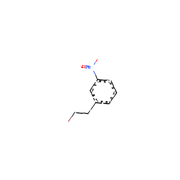 O=[N+]([O-])c1cc[c]c(CCBr)c1